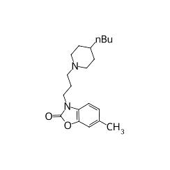 CCCCC1CCN(CCCn2c(=O)oc3cc(C)ccc32)CC1